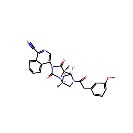 COc1cccc(CC(=O)N2C[C@@H]3C[C@H]2[C@H]2C(=O)N(c4cnc(C#N)c5ccccc45)C(=O)N32)c1